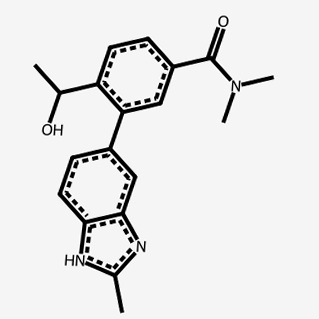 Cc1nc2cc(-c3cc(C(=O)N(C)C)ccc3C(C)O)ccc2[nH]1